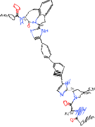 CC[C@H](NC(=O)OC)C(=O)N1C[C@H](C#N)C[C@H]1c1ncc(-c2ccc(-c3ccc(-c4cnc([C@@H]5Cc6cccc7c6N5C(=O)[C@@H](NC(=O)OC)CC7)[nH]4)cc3)cc2)[nH]1